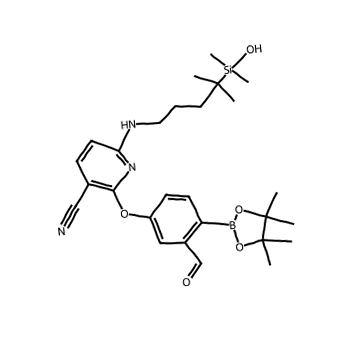 CC1(C)OB(c2ccc(Oc3nc(NCCCC(C)(C)[Si](C)(C)O)ccc3C#N)cc2C=O)OC1(C)C